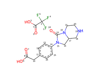 O=C(O)C(F)(F)F.O=C(O)Cc1ccc(N2CC3CNCCN3C2=O)cc1